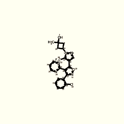 CC1(O)CC(n2ncc(-c3onc(-c4ccccc4Cl)c3-c3ncccn3)c2C(F)(F)F)C1